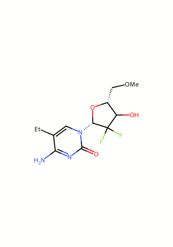 CCc1cn([C@@H]2O[C@H](COC)C(O)C2(F)F)c(=O)nc1N